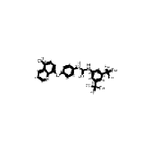 O=C(Nc1ccc(Oc2ccc(Cl)c3cccnc23)cc1)Nc1cc(C(F)(F)F)cc(C(F)(F)F)c1